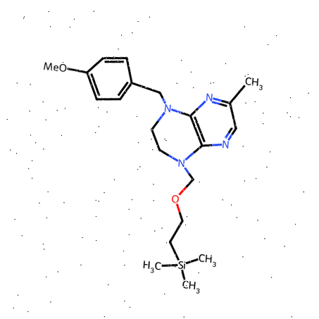 COc1ccc(CN2CCN(COCC[Si](C)(C)C)c3ncc(C)nc32)cc1